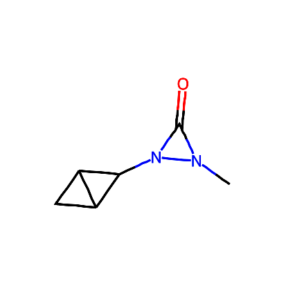 CN1C(=O)N1C1C2CC21